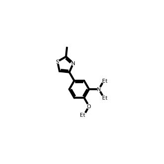 CCOc1ccc(-c2csc(C)n2)cc1N(CC)CC